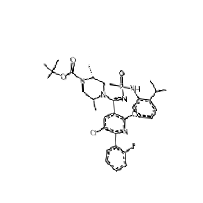 CC(C)c1ccccc1NP(C)(=O)/N=C(/c1cc(Cl)c(-c2ccccc2F)nc1Cl)N1C[C@@H](C)N(C(=O)OC(C)(C)C)C[C@@H]1C